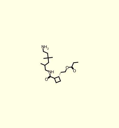 CCC(=O)OCC[C@@H]1CCC1C(=O)NCC(C)CC(C)(C)CCN